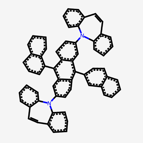 C1=Cc2ccccc2N(c2ccc3c(-c4cccc5ccccc45)c4cc(N5c6ccccc6C=Cc6ccccc65)ccc4c(-c4ccc5ccccc5c4)c3c2)c2ccccc21